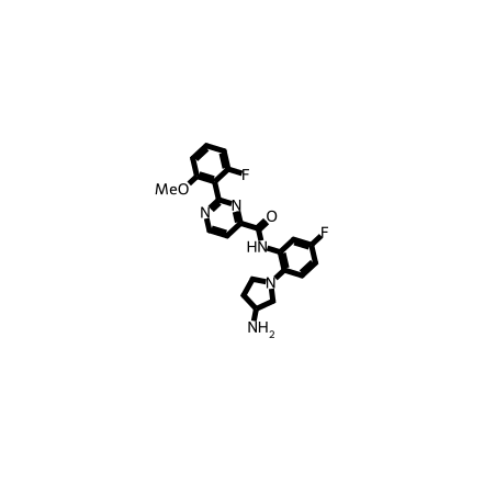 COc1cccc(F)c1-c1nccc(C(=O)Nc2cc(F)ccc2N2CCC(N)C2)n1